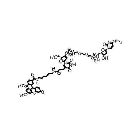 Nc1ccn([C@H]2C[C@@H](O)[C@@H](COP(=O)(O)OCCOCCOCCOP(=O)(O)O[C@@H]3C[C@H](n4cc(/C=C/C(=O)NCCCCCCNC(=O)c5ccc(C(=O)O)c(-c6c7ccc(=O)cc-7oc7cc(O)ccc67)c5)c(=O)[nH]c4=O)O[C@@H]3CO)O2)c(=O)n1